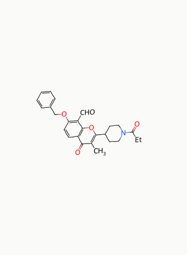 CCC(=O)N1CCC(c2oc3c(C=O)c(OCc4ccccc4)ccc3c(=O)c2C)CC1